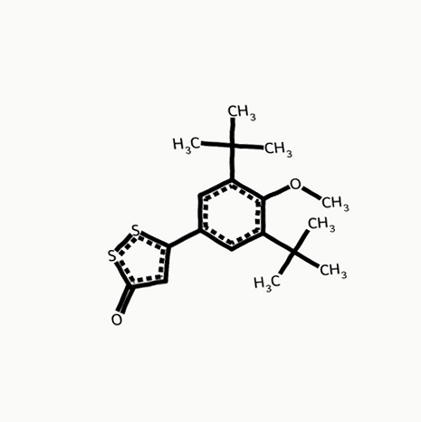 COc1c(C(C)(C)C)cc(-c2cc(=O)ss2)cc1C(C)(C)C